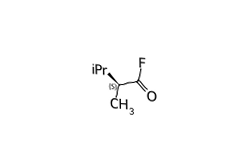 CC(C)[C@H](C)C(=O)F